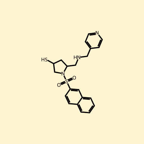 O=S(=O)(c1ccc2ccccc2c1)N1CC(S)CC1CNCc1ccncc1